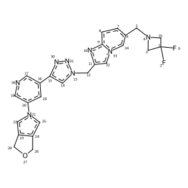 FC1(F)CN(Cc2ccc3nc(Cn4cc(-c5cncc(-n6cc7c(c6)COC7)c5)nn4)cn3c2)C1